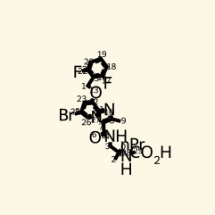 CCCC(C)(CNC(=O)c1c(C)nc2c(OCc3c(F)cccc3F)cc(Br)cn12)NC(=O)O